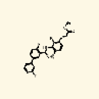 CC(C)OC(=O)COc1ccc(F)c(NC(C)c2cc(-c3cccc(F)c3)ccc2F)c1F